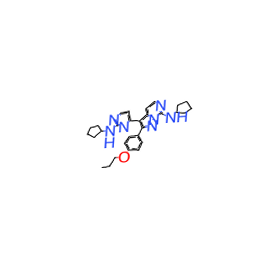 CCCOc1ccc(-c2nn3c(NC4CCCC4)nccc3c2-c2ccnc(NC3CCCC3)n2)cc1